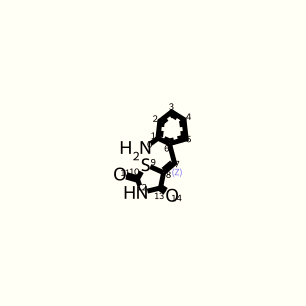 Nc1ccccc1/C=C1\SC(=O)NC1=O